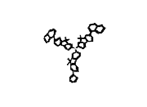 CC1(C)c2cc(-c3ccccc3)ccc2-c2ccc(N(c3ccc4c(c3)C(C)(C)c3cc(-c5cccc6ccccc56)ccc3-4)c3ccc4c(c3)C(C)(C)c3cc(-c5cccc6ccccc56)ccc3-4)cc21